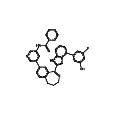 O=C(Nc1cncc(-c2ccc3c(c2)C(c2cc4c(-c5cc(O)cc(F)c5)cccc4[nH]2)=NCCC3)c1)c1ccccc1